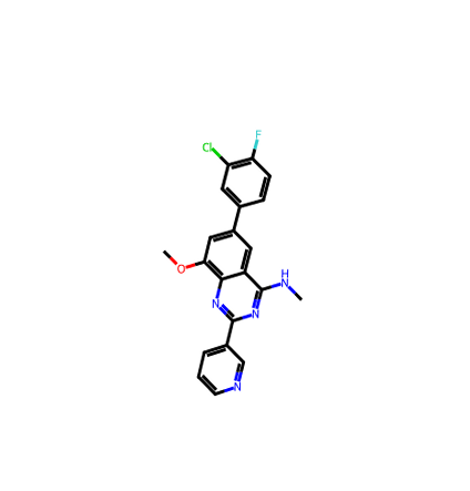 CNc1nc(-c2cccnc2)nc2c(OC)cc(-c3ccc(F)c(Cl)c3)cc12